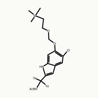 [2H]C([2H])(NC(C)=O)c1cc2cc(Cl)c(OCOCC[Si](C)(C)C)cc2[nH]1